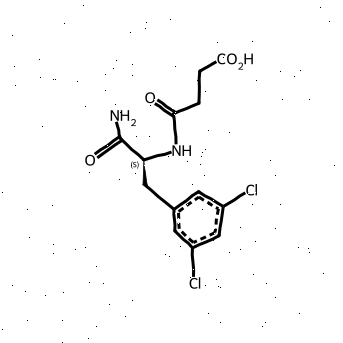 NC(=O)[C@H](Cc1cc(Cl)cc(Cl)c1)NC(=O)CCC(=O)O